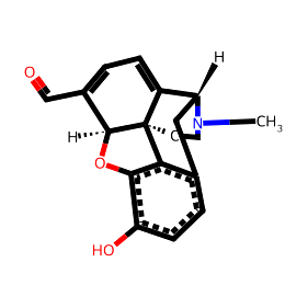 CN1CC[C@@]23C4=CC=C(C=O)[C@@H]2Oc2c(O)ccc(c23)C[C@H]41